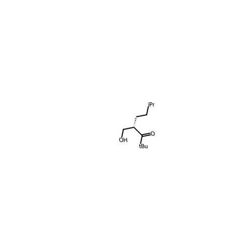 CC(C)CC[C@@H](CO)C(=O)C(C)(C)C